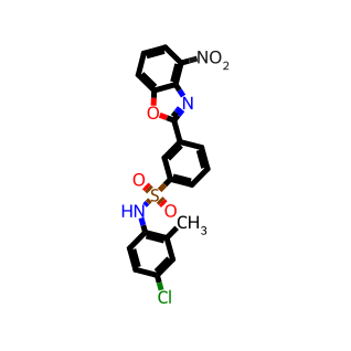 Cc1cc(Cl)ccc1NS(=O)(=O)c1cccc(-c2nc3c([N+](=O)[O-])cccc3o2)c1